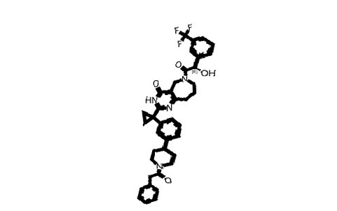 O=C(Cc1ccccc1)N1CCC(c2cccc(C3(c4nc5c(c(=O)[nH]4)CN(C(=O)[C@H](O)c4cccc(C(F)(F)F)c4)CCC5)CC3)c2)CC1